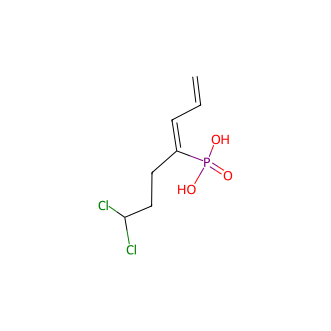 C=CC=C(CCC(Cl)Cl)P(=O)(O)O